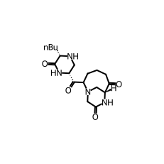 CCCC[C@@H]1NC[C@H](C(=O)C2CCCC(=O)[C@H]3CN2CC(=O)N3)NC1=O